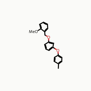 COc1ccccc1COc1cccc(Oc2ccc(C)cc2)c1